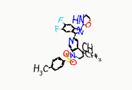 Cc1ccc(S(=O)(=O)N2CCC(C)(C)c3cc(-c4nn(C5NCCO5)c5cc(F)c(F)cc45)ncc32)cc1